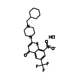 Cl.O=c1cc(N2CCN(CC3CCCCC3)CC2)sc2c([N+](=O)[O-])cc(C(F)(F)F)cc12